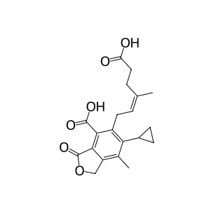 CC(=CCc1c(C(=O)O)c2c(c(C)c1C1CC1)COC2=O)CCC(=O)O